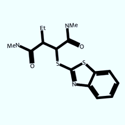 CCC(C(=O)NC)C(Sc1nc2ccccc2s1)C(=O)NC